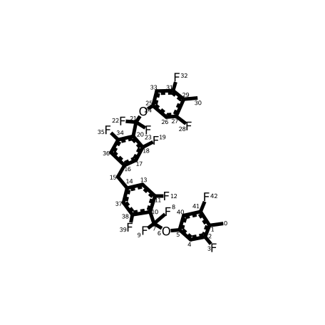 Cc1c(F)cc(OC(F)(F)c2c(F)cc(Cc3cc(F)c(C(F)(F)Oc4cc(F)c(C)c(F)c4)c(F)c3)cc2F)cc1F